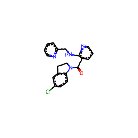 O=C(c1cccnc1NCc1ccccn1)N1CCc2cc(Cl)ccc21